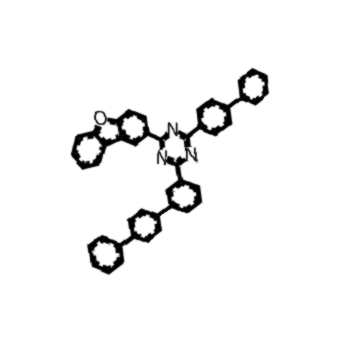 c1ccc(-c2ccc(-c3cccc(-c4nc(-c5ccc(-c6ccccc6)cc5)nc(-c5ccc6oc7ccccc7c6c5)n4)c3)cc2)cc1